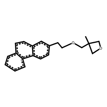 CC1(COCCc2ccc3c(ccc4ccccc43)c2)COC1